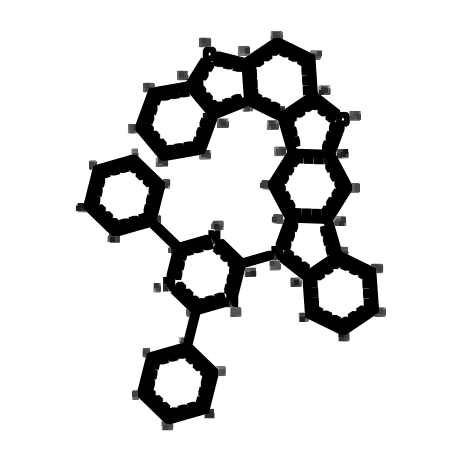 c1ccc(-c2nc(-c3ccccc3)nc(-n3c4ccccc4c4cc5oc6ccc7oc8ccccc8c7c6c5cc43)n2)cc1